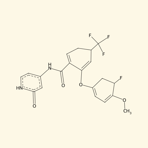 COC1=CC=C(OC2=CC(C(F)(F)F)CC=C2C(=O)Nc2cc[nH]c(=O)c2)CC1F